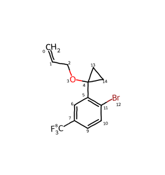 C=CCOC1(c2cc(C(F)(F)F)ccc2Br)CC1